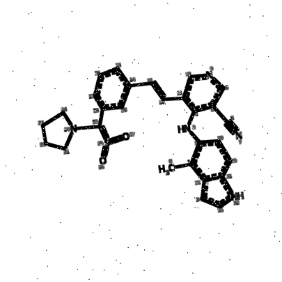 Cc1c(Nc2c(C#N)cncc2C=Cc2cccc(C(N3CCCC3)=S(=O)=O)c2)ccc2[nH]ccc12